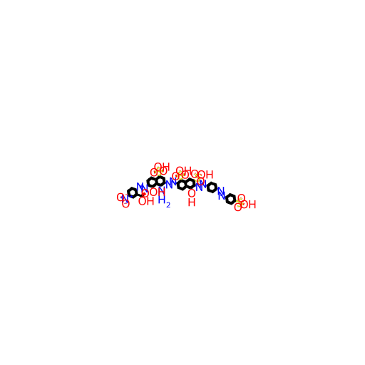 Nc1c(N=Nc2ccc3c(O)c(N=Nc4ccc(N=Nc5ccc(S(=O)(=O)O)cc5)cc4)c(S(=O)(=O)O)cc3c2S(=O)(=O)O)cc(S(=O)(=O)O)c2ccc(N=Nc3ccc([N+](=O)[O-])cc3C(=O)O)c(O)c12